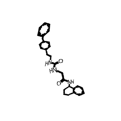 O=C(CNC(=O)NCCc1ccc(-c2ccccc2)cc1)NC1CCCc2ccccc21